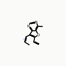 C=Cc1oc2c(C)ncnc2c1/C=C\C